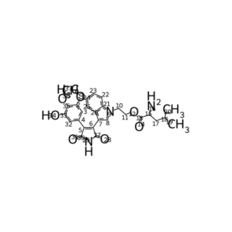 COc1cc(C2=C(c3cn(CCOC(=O)C(N)CC(C)C)c4ccccc34)C(=O)NC2=O)cc(O)c1OC